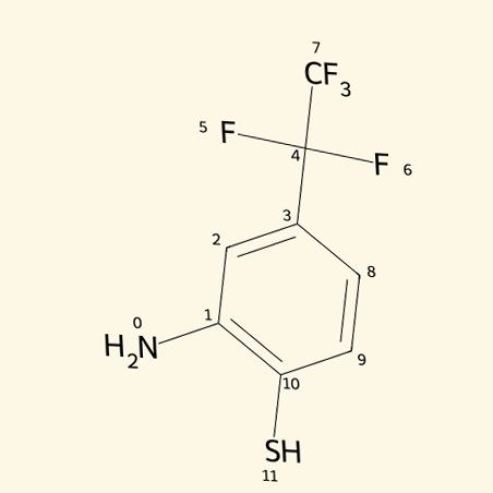 Nc1cc(C(F)(F)C(F)(F)F)ccc1S